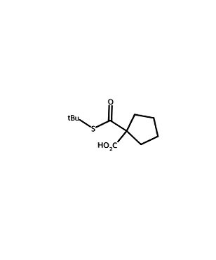 CC(C)(C)SC(=O)C1(C(=O)O)CCCC1